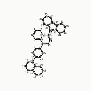 C1=CCN2C(=C1)C(c1ccc(-c3cccc4ccccc34)cc1)=CN=C2n1c2ccccc2c2ccccc21